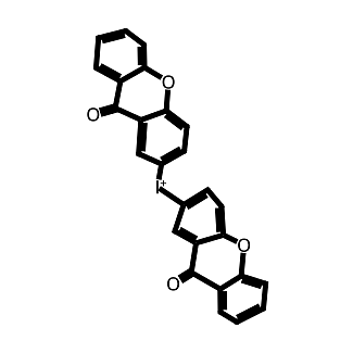 O=c1c2ccccc2oc2ccc([I+]c3ccc4oc5ccccc5c(=O)c4c3)cc12